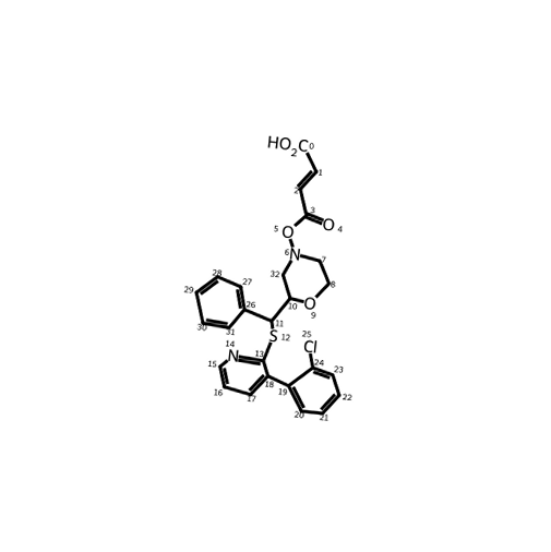 O=C(O)/C=C/C(=O)ON1CCOC(C(Sc2ncccc2-c2ccccc2Cl)c2ccccc2)C1